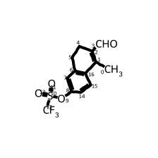 CC1=C(C=O)CCc2cc(OS(=O)(=O)C(F)(F)F)ccc21